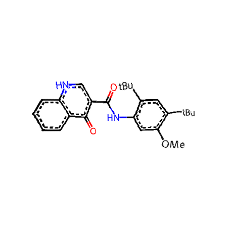 COc1cc(NC(=O)c2c[nH]c3ccccc3c2=O)c(C(C)(C)C)cc1C(C)(C)C